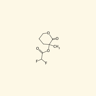 CC1(OC(=O)C(F)F)CCCOC1=O